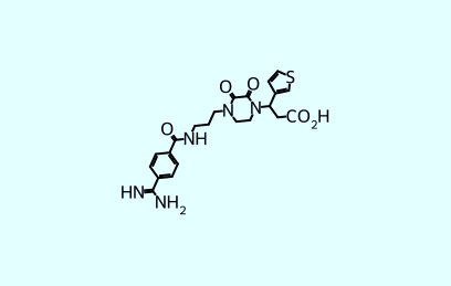 N=C(N)c1ccc(C(=O)NCCCN2CCN(C(CC(=O)O)c3ccsc3)C(=O)C2=O)cc1